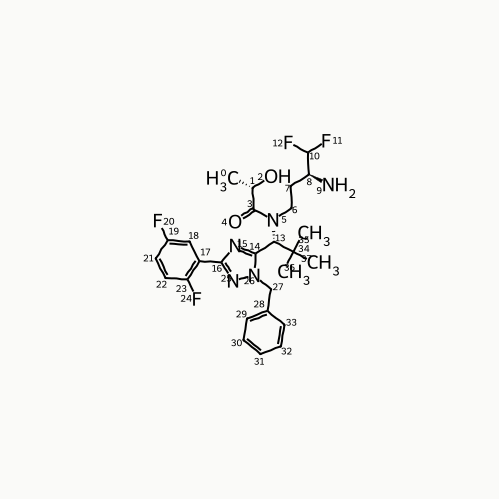 C[C@H](O)C(=O)N(CC[C@H](N)C(F)F)[C@@H](c1nc(-c2cc(F)ccc2F)nn1Cc1ccccc1)C(C)(C)C